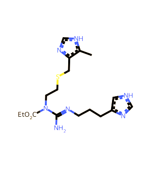 CCOC(=O)N(CCSCc1nc[nH]c1C)C(N)=NCCCc1c[nH]cn1